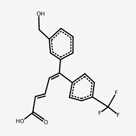 O=C(O)/C=C/C=C(\c1ccc(C(F)(F)F)cc1)c1cccc(CO)c1